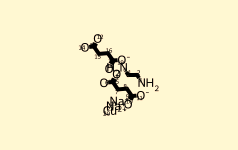 NCCN.O=C([O-])CCC(=O)[O-].O=C([O-])CCC(=O)[O-].[Cu+2].[Na+].[Na+]